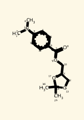 CN(C)c1ccc(C(=O)OCC2COC(C)(C)O2)cc1